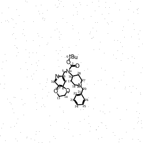 CC(C)(C)OC(=O)N(Cc1cc2c(cn1)OCCO2)C1CCN(Cc2ccccc2)CC1